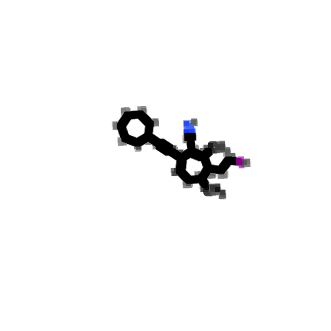 CC1=C(C#N)C(C#CC2CCCCCC2)=CCC(C)C1CCI